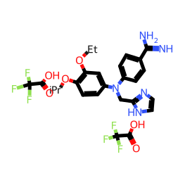 CCOc1cc(N(Cc2ncc[nH]2)c2ccc(C(=N)N)cc2)ccc1OC(C)C.O=C(O)C(F)(F)F.O=C(O)C(F)(F)F